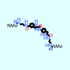 C/N=C(/NC)NCCCNC(=O)c1ccc2[nH]c(C(=O)Nc3ccc4cc(C(=O)NCCCN/C(=N\C)NC)[nH]c4c3)cc2c1